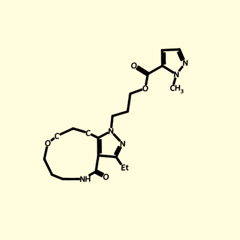 CCc1nn(CCCOC(=O)c2ccnn2C)c2c1C(=O)NCCCOCCC2